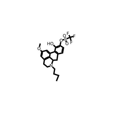 CCCCN1CCc2cc(OC)cc3c2C1Cc1ccc(OS(=O)(=O)C(F)(F)F)c(O)c1-3